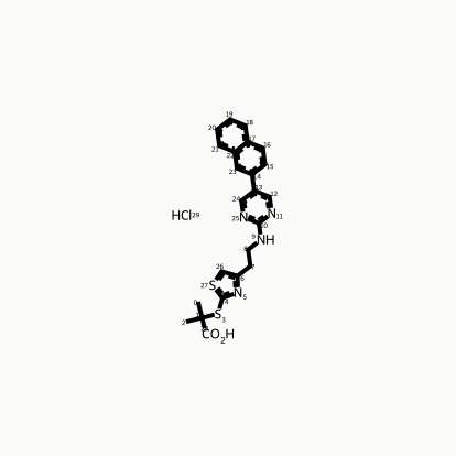 CC(C)(Sc1nc(CCNc2ncc(-c3ccc4ccccc4c3)cn2)cs1)C(=O)O.Cl